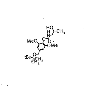 COc1cc(CO[Si](C)(C)C(C)(C)C)cc(OC)c1OC(=O)NCC(C)O